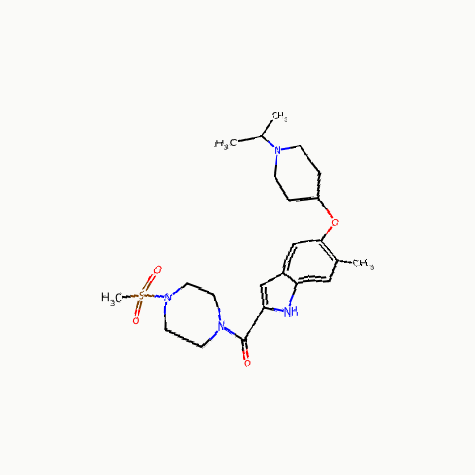 Cc1cc2[nH]c(C(=O)N3CCN(S(C)(=O)=O)CC3)cc2cc1OC1CCN(C(C)C)CC1